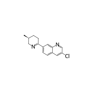 C[C@H]1CCC(c2ccc3cc(Cl)cnc3c2)=NC1